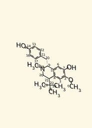 COc1cc2c(cc1O)[C@@H](Cc1ccc(O)cc1)N(C)CC2C(C)(C)C